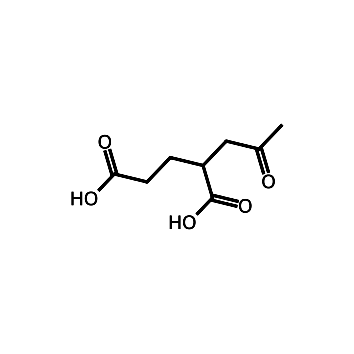 CC(=O)CC(CCC(=O)O)C(=O)O